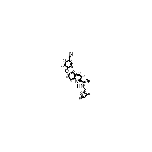 N#Cc1ccc(Oc2ccc3nc(C(=O)NCc4ccco4)ccc3c2)cc1